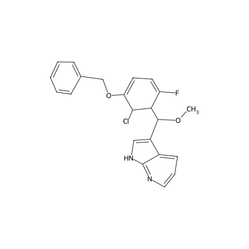 COC(c1c[nH]c2ncccc12)C1C(F)=CC=C(OCc2ccccc2)C1Cl